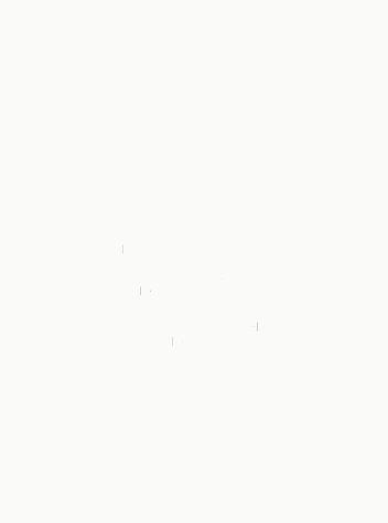 Cc1sc(-c2c(C)sc(C)c2C)c(C)c1C